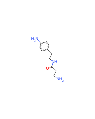 NCCC(=O)NCCc1ccc(N)cc1